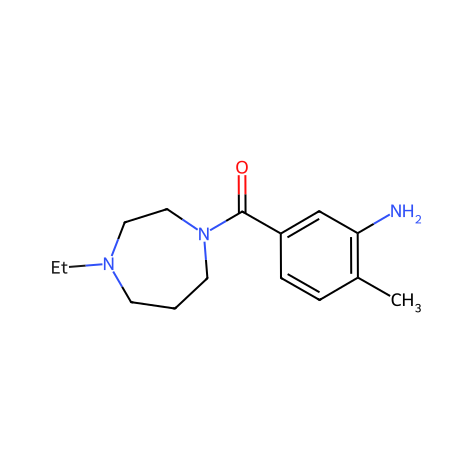 CCN1CCCN(C(=O)c2ccc(C)c(N)c2)CC1